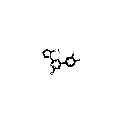 CC1CCCN1c1nc(Cl)cc(-c2ccc(F)c(Cl)c2)n1